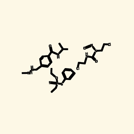 CCOP(=S)(CC)Sc1ccccc1.CNNCc1ccc(C(=O)NC(C)C)cc1.O=NN(CCCl)C(=O)NCCCl